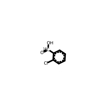 O=[14C](O)c1ccccc1Cl